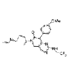 C=C/N=C/C=C\C(=C)n1cc2cnc(NCC(F)(F)F)nc2c(-c2ccc(OC)cc2)c1=O